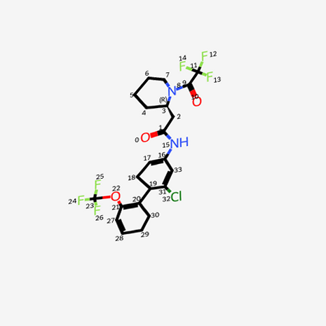 O=C(C[C@H]1CCCCN1C(=O)C(F)(F)F)NC1=CCC(C2=C(OC(F)(F)F)C=CCC2)C(Cl)=C1